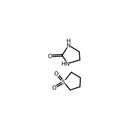 O=C1NCCN1.O=S1(=O)CCCC1